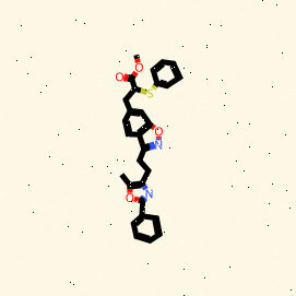 COC(=O)C(Cc1ccc2c(CCc3nc(-c4ccccc4)oc3C)noc2c1)Sc1ccccc1